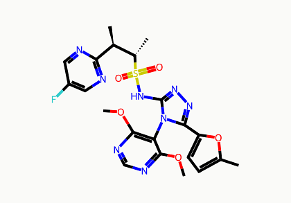 COc1ncnc(OC)c1-n1c(NS(=O)(=O)[C@@H](C)[C@H](C)c2ncc(F)cn2)nnc1-c1ccc(C)o1